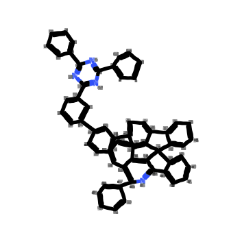 c1ccc(-c2nc(-c3ccccc3)nc(-c3cccc(-c4cccc(-c5ccc6c(c5)C5(c7ccccc7-6)c6ccccc6-c6nc(-c7ccccc7)c7ccccc7c65)c4)c3)n2)cc1